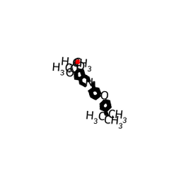 COC1=CC2CCN(Cc3cccc(Oc4ccc(C(C)(C)C)cc4)c3)CC2=CC1(OC)OC